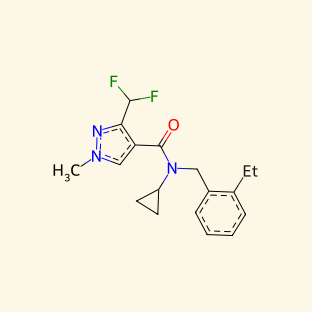 CCc1ccccc1CN(C(=O)c1cn(C)nc1C(F)F)C1CC1